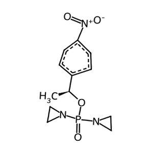 C[C@H](OP(=O)(N1CC1)N1CC1)c1ccc([N+](=O)[O-])cc1